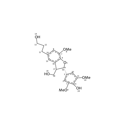 COc1cc([C@H]2Oc3c(OC)cc(CCCO)cc3C2CO)cc(OC)c1O